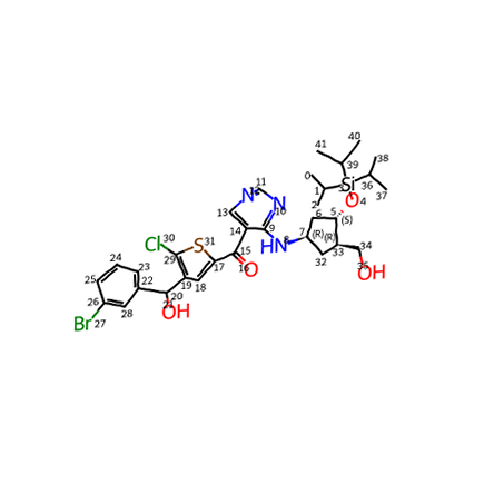 CC(C)[Si](O[C@H]1C[C@H](Nc2ncncc2C(=O)c2cc(C(O)c3cccc(Br)c3)c(Cl)s2)C[C@@H]1CO)(C(C)C)C(C)C